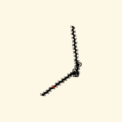 CCCCCCCCCCCCCCCCCCCCCC(=O)OCC(CO)OC(=O)CCCCCCCCCCCCCCCCCCCCC